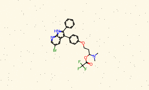 CN(C)C(CCOc1ccc(-c2c(-c3ccccc3)[nH]c3ncc(Br)cc23)cc1)OC(=O)C(F)(F)F